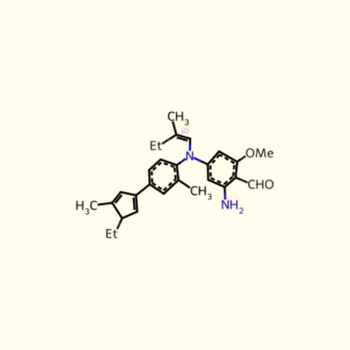 CC/C(C)=C\N(c1cc(N)c(C=O)c(OC)c1)c1ccc(C2=CC(CC)C(C)=C2)cc1C